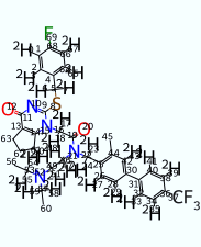 [2H]c1c([2H])c(C([2H])([2H])Sc2nc(=O)c3c(n2C([2H])([2H])C(=O)N(C([2H])([2H])c2c([2H])c([2H])c(-c4c([2H])c([2H])c(C(F)(F)F)c([2H])c4[2H])c([2H])c2C)C([2H])([2H])C([2H])([2H])N(C([2H])([2H])C)C([2H])([2H])C)CCC3)c([2H])c([2H])c1F